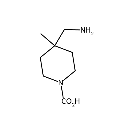 CC1(CN)CCN(C(=O)O)CC1